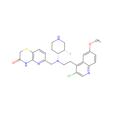 COc1ccc2ncc(Cl)c(CCN(Cc3ccc4c(n3)NC(=O)CS4)[C@@H]3CCNC[C@@H]3F)c2c1